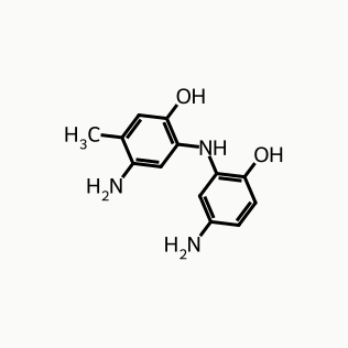 Cc1cc(O)c(Nc2cc(N)ccc2O)cc1N